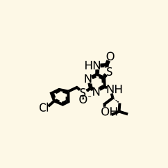 CC(C)C[C@H](CO)Nc1nc([S@@+]([O-])Cc2ccc(Cl)cc2)nc2[nH]c(=O)sc12